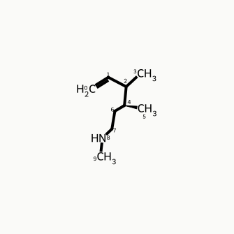 C=CC(C)[C@@H](C)CCNC